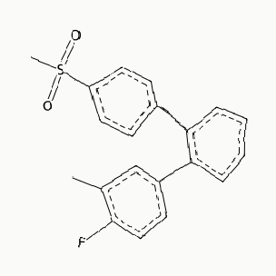 Cc1cc(-c2ccccc2-c2ccc(S(C)(=O)=O)cc2)ccc1F